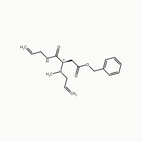 C=CCNC(=O)[C@@H](CC(=O)OCc1ccccc1)N(C)CC=C